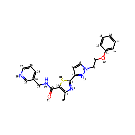 Cc1nc(-c2ccn(CCOc3ccccc3)n2)sc1C(=O)NCc1cccnc1